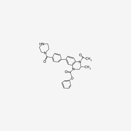 CC(=O)N1c2ccc(-c3ccc(C(=O)N4CCNCC4)cc3)cc2N(C(=O)Oc2ccccc2)CC1C